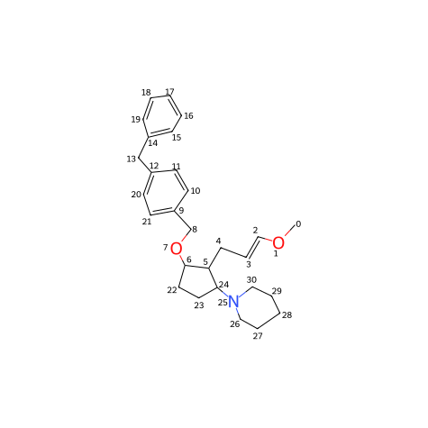 COC=CCC1C(OCc2ccc(Cc3ccccc3)cc2)CCC1N1CCCCC1